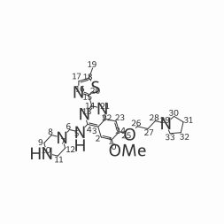 COc1cc2c(NCN3CCNCC3)nc(-c3ncc(C)s3)nc2cc1OCCCN1CCCC1